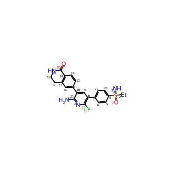 CCS(=N)(=O)c1ccc(-c2cc(-c3ccc4c(c3)CCNC4=O)c(N)nc2F)cc1